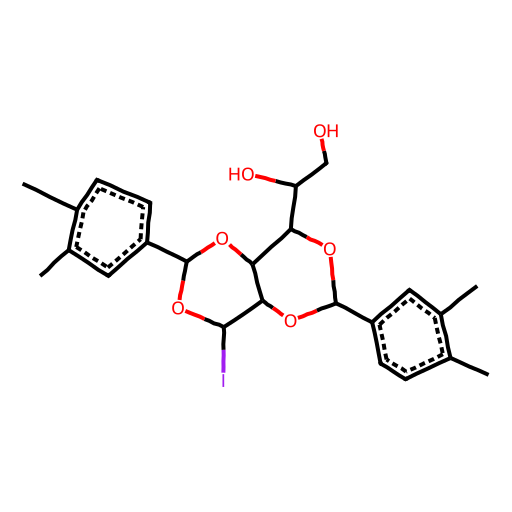 Cc1ccc(C2OC(C(O)CO)C3OC(c4ccc(C)c(C)c4)OC(I)C3O2)cc1C